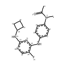 CC(=O)N(C)c1ccc(Nc2nc(NC3CCC3)ncc2F)cc1